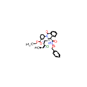 C#C/C=C(Cl)\C=C/C[C@H]1[C@H](C(=O)NOCc2ccccc2)c2ccccc2C(=O)N1c1cccc(C(=O)OCC)c1